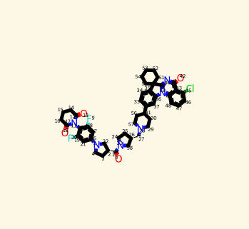 O=C([C@@H]1CCN(c2cc(F)c(N3C(=O)CCCC3=O)c(F)c2)C1)N1CC[C@H](CN2CCC(c3ccc4c(c3)-n3c(nc(=O)c5c(Cl)cccc53)C43CCCCC3)CC2)C1